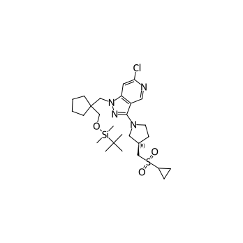 CC(C)(C)[Si](C)(C)OCC1(Cn2nc(N3CC[C@@H](CS(=O)(=O)C4CC4)C3)c3cnc(Cl)cc32)CCCC1